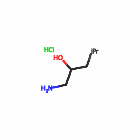 CC(C)CC(O)CN.Cl